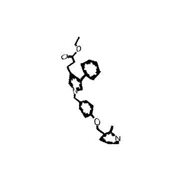 CCOC(=O)CCc1cn(Cc2ccc(OCc3cccnc3C)cc2)cc1-c1ccccc1